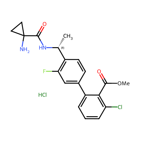 COC(=O)c1c(Cl)cccc1-c1ccc([C@@H](C)NC(=O)C2(N)CC2)c(F)c1.Cl